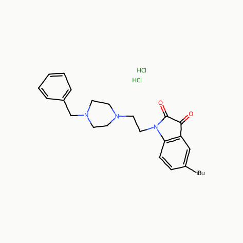 CCC(C)c1ccc2c(c1)C(=O)C(=O)N2CCN1CCN(Cc2ccccc2)CC1.Cl.Cl